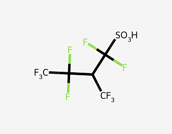 O=S(=O)(O)C(F)(F)C(C(F)(F)F)C(F)(F)C(F)(F)F